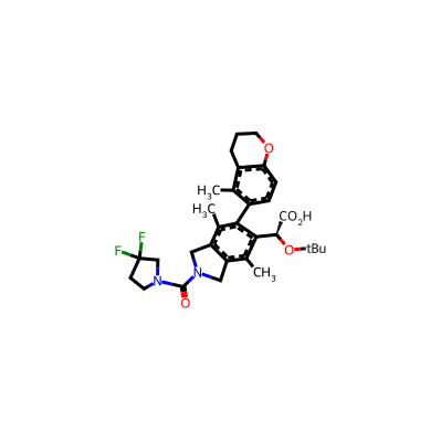 Cc1c(-c2c(C)c3c(c(C)c2[C@H](OC(C)(C)C)C(=O)O)CN(C(=O)N2CCC(F)(F)C2)C3)ccc2c1CCCO2